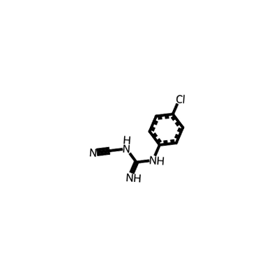 N#CNC(=N)Nc1ccc(Cl)cc1